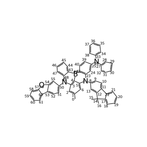 Cc1cc2c3c(c1)N(c1ccc4c(c1)C(C)(C)c1ccccc1-4)c1cc(N(c4ccccc4)c4ccccc4)ccc1B3c1ccccc1N2c1ccc2c(c1)oc1ccccc12